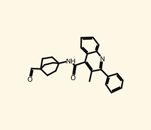 Cc1c(-c2ccccc2)nc2ccccc2c1C(=O)NC12CCC(C=O)(CC1)CC2